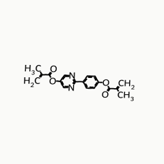 C=C(C)C(=O)Oc1ccc(-c2ncc(OC(=O)C(=C)C)cn2)cc1